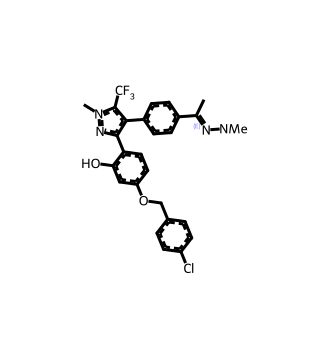 CN/N=C(\C)c1ccc(-c2c(-c3ccc(OCc4ccc(Cl)cc4)cc3O)nn(C)c2C(F)(F)F)cc1